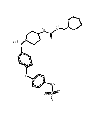 CS(=O)(=O)Nc1ccc(Oc2ccc(CN3CCC(NC(=S)NCC4CCCCC4)CC3)cc2)cc1.Cl